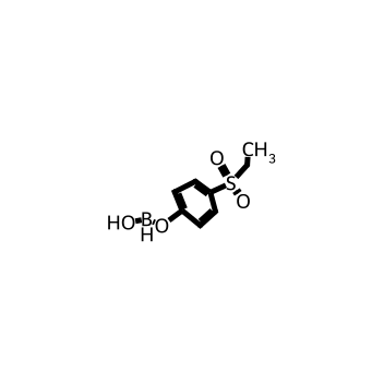 CCS(=O)(=O)c1ccc(OBO)cc1